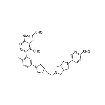 CNC(=O)C(CCC=O)N(C=O)C(=O)c1cc(N2CC3C(CN4CC5CN(c6ccc(C=O)nn6)CC5C4)C3C2)ccc1C